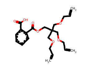 C=CCOCC(COCC=C)(COCC=C)COC(=O)c1ccccc1C(=O)O